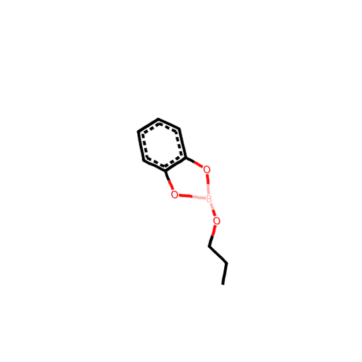 CCCOB1Oc2ccccc2O1